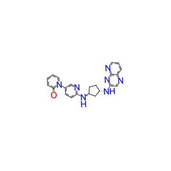 O=c1ccccn1-c1ccc(N[C@H]2CC[C@H](Nc3cnc4cccnc4n3)C2)nc1